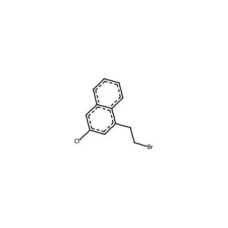 Clc1cc(CCBr)c2ccccc2c1